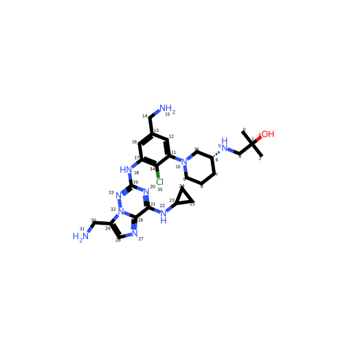 CC(C)(O)CN[C@@H]1CCCN(c2cc(CN)cc(Nc3nc(NC4CC4)c4ncc(CN)n4n3)c2Cl)C1